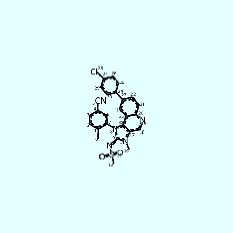 Cc1ccc(C#N)cc1-n1c(=NS(C)(=O)=O)n(C)c2cnc3ccc(-c4ccc(Cl)cc4)cc3c21